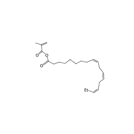 C=C(C)C(=O)OC(=O)CCCCCCC/C=C\C/C=C\C/C=C\CC